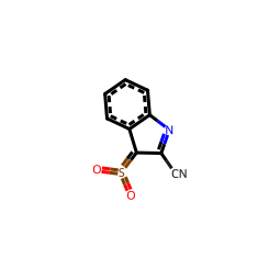 N#CC1=Nc2ccccc2C1=S(=O)=O